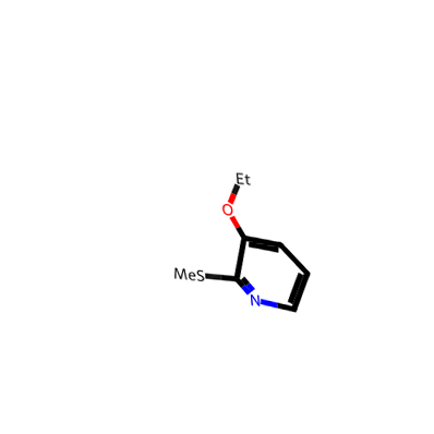 CCOc1cccnc1SC